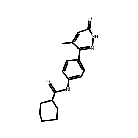 Cc1cc(=O)[nH]nc1-c1ccc(NC(=O)C2CCCCC2)cc1